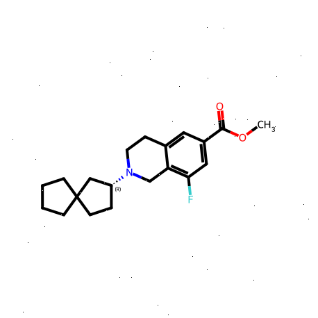 COC(=O)c1cc(F)c2c(c1)CCN([C@@H]1CCC3(CCCC3)C1)C2